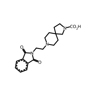 O=C(O)N1CCC2(CCN(CCN3C(=O)c4ccccc4C3=O)CC2)C1